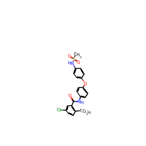 CS(=O)(=O)Nc1ccc(Oc2ccc(NC(=O)c3cc(Cl)ccc3C(=O)O)cc2)cc1